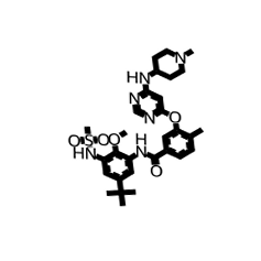 COc1c(NC(=O)c2ccc(C)c(Oc3cc(NC4CCN(C)CC4)ncn3)c2)cc(C(C)(C)C)cc1NS(C)(=O)=O